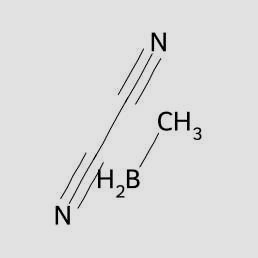 BC.N#CC#N